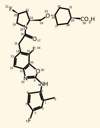 Cc1cc(F)ccc1Nc1nc2ccc(CC(=O)N3C[C@@H](F)C[C@H]3CO[C@H]3CC[C@H](C(=O)O)CC3)c(F)c2o1